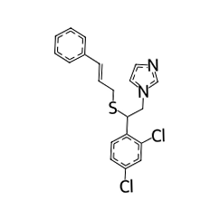 Clc1ccc(C(Cn2ccnc2)SCC=Cc2ccccc2)c(Cl)c1